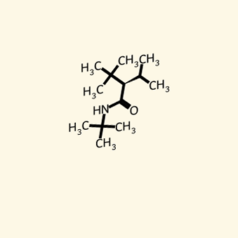 CC(C)[C@@H](C(=O)NC(C)(C)C)C(C)(C)C